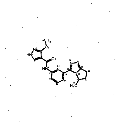 COc1n[nH]cc1C(=O)Nc1cccc(-c2nnc3n2C(C)CC3)n1